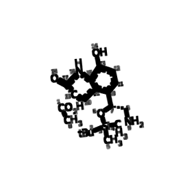 CC(=O)O.CC(C)(C)[Si](C)(C)O[C@@H](CN)c1ccc(O)c2[nH]c(=O)ccc12